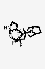 O=C(CC(F)(F)F)N1C2CCC1CN(c1ncnc3[nH]ccc13)C2